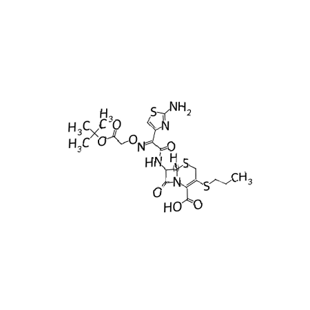 CCCSC1=C(C(=O)O)N2C(=O)C(NC(=O)C(=NOCC(=O)OC(C)(C)C)c3csc(N)n3)[C@@H]2SC1